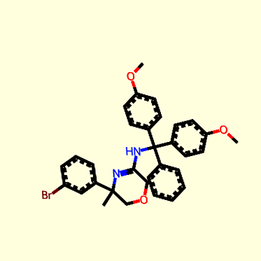 COc1ccc(C(NC2=NC(C)(c3cccc(Br)c3)COC2)(c2ccccc2)c2ccc(OC)cc2)cc1